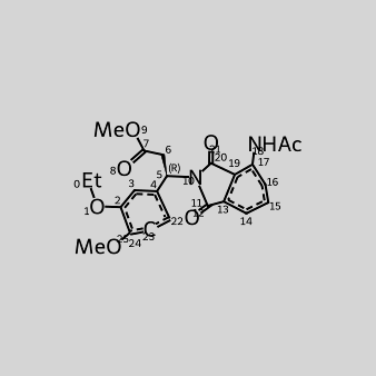 CCOc1cc([C@@H](CC(=O)OC)N2C(=O)c3cccc(NC(C)=O)c3C2=O)ccc1OC